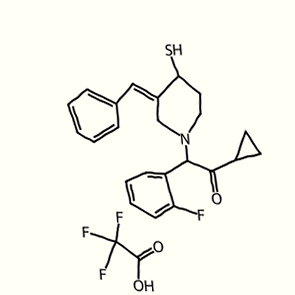 O=C(C1CC1)C(c1ccccc1F)N1CCC(S)C(=Cc2ccccc2)C1.O=C(O)C(F)(F)F